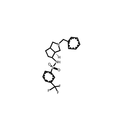 O=S(=O)(NC1CCC2CN(Cc3ccccc3)C[C@H]21)c1cccc(C(F)(F)F)c1